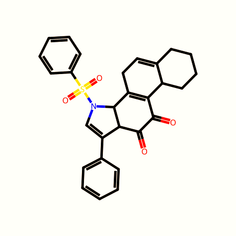 O=C1C(=O)C2C(c3ccccc3)=CN(S(=O)(=O)c3ccccc3)C2C2=C1C1CCCCC1=CC2